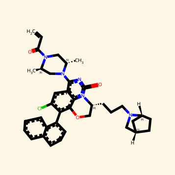 C=CC(=O)N1C[C@H](C)N(c2nc(=O)n3c4c(c(-c5cccc6ccccc56)c(Cl)cc24)OC[C@H]3CCCN2C[C@H]3CC[C@@H]2C3)C[C@H]1C